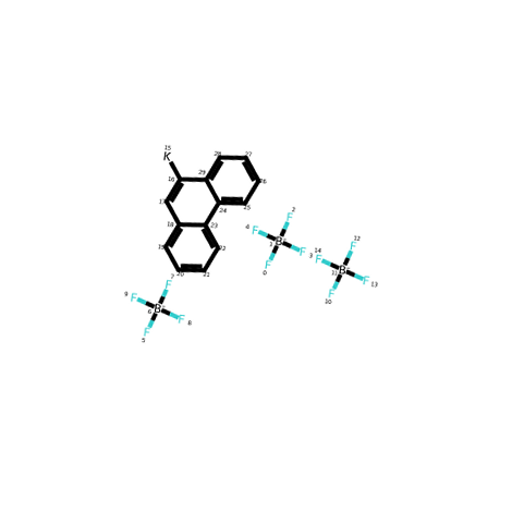 F[B-](F)(F)F.F[B-](F)(F)F.F[B-](F)(F)F.[K][c]1cc2ccccc2c2ccccc12